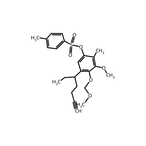 C#CCCC(CC)c1cc(OS(=O)(=O)c2ccc(C)cc2)c(C)c(OC)c1OCOC